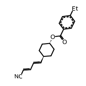 CCc1ccc(C(=O)O[C@H]2CC[C@H](/C=C/C=C/C#N)CC2)cc1